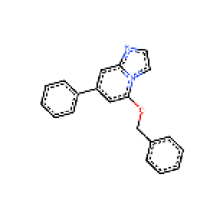 c1ccc(COc2cc(-c3ccccc3)cc3nccn23)cc1